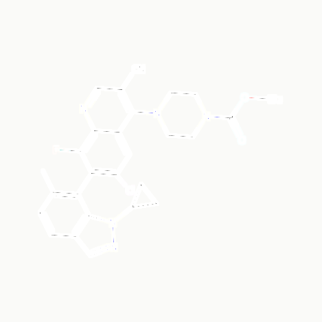 Cc1ccc2cnn(C3CC3)c2c1-c1c(Cl)cc2c(N3CCN(C(=O)OC(C)(C)C)CC3)c(C#N)cnc2c1F